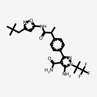 CC(C(=O)Nc1cc(CC(C)(C)C)no1)c1ccc(-c2nn(C(C)(C)C(F)(F)F)c(N)c2C(N)=O)cc1